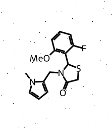 COc1cccc(F)c1C1SCC(=O)N1Cc1cccn1C